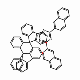 c1ccc(C2(c3ccccc3-c3nc(-c4ccc5ccccc5c4)nc(-c4ccc5ccccc5c4)n3)c3ccccc3C3(c4ccccc4)c4ccccc4-c4cccc2c43)cc1